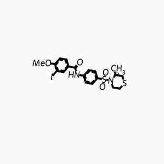 COc1ccc(C(=O)Nc2ccc(S(=O)(=O)N3CCSC[C@@H]3C)cc2)cc1I